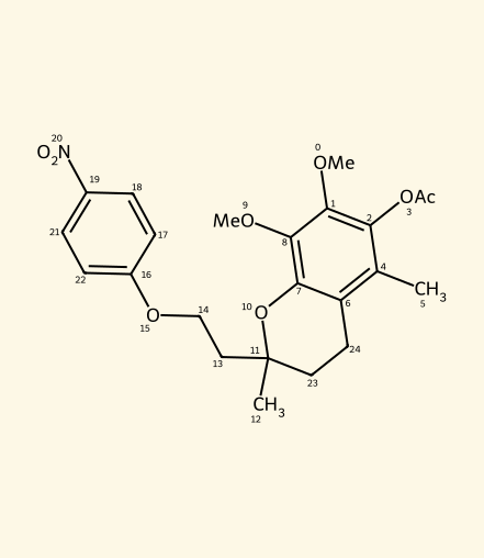 COc1c(OC(C)=O)c(C)c2c(c1OC)OC(C)(CCOc1ccc([N+](=O)[O-])cc1)CC2